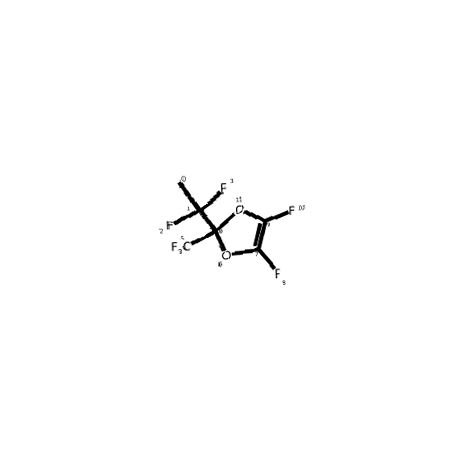 CC(F)(F)C1(C(F)(F)F)OC(F)=C(F)O1